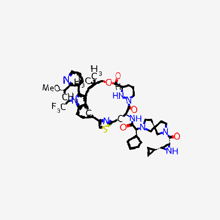 CO[C@@H](C)c1ncccc1-c1c2c3cc(ccc3n1CC(F)(F)F)-c1csc(n1)C[C@H](NC(=O)[C@H](C1CCCC1)N1CC[C@]3(CCN(C(=O)[C@@H]4N[C@@H]4C4CC4)C3)C1)C(=O)N1CCC[C@H](N1)C(=O)OCC(C)(C)C2